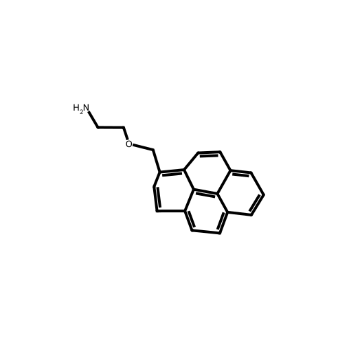 NCCOCc1ccc2ccc3cccc4ccc1c2c34